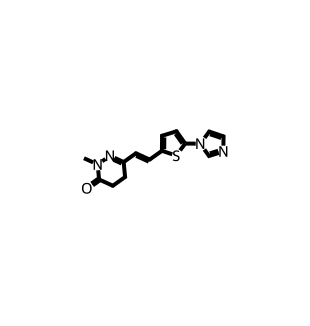 CN1N=C(/C=C/c2ccc(-n3ccnc3)s2)CCC1=O